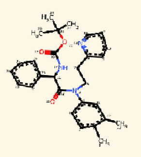 Cc1ccc(N(CCc2ccccn2)C(=O)C(NC(=O)OC(C)(C)C)c2ccccc2)cc1C